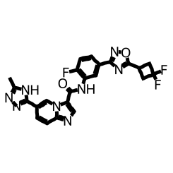 Cc1nnc(-c2ccc3ncc(C(=O)Nc4cc(-c5noc(C6CC(F)(F)C6)n5)ccc4F)n3c2)[nH]1